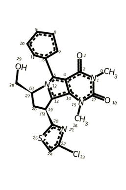 Cn1c(=O)c2c(-c3ccccc3)n3c(c2n(C)c1=O)[C@@H](c1nc(Cl)cs1)C[C@H]3CO